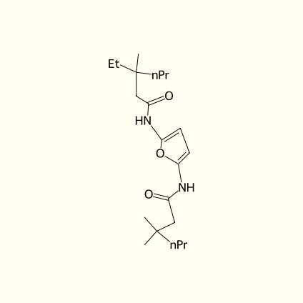 CCCC(C)(C)CC(=O)Nc1ccc(NC(=O)CC(C)(CC)CCC)o1